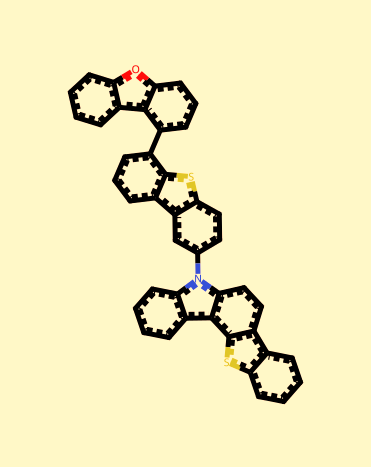 c1ccc2c(c1)oc1cccc(-c3cccc4c3sc3ccc(-n5c6ccccc6c6c7sc8ccccc8c7ccc65)cc34)c12